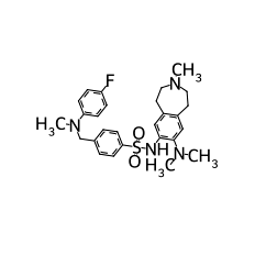 CN1CCc2cc(NS(=O)(=O)c3ccc(CN(C)c4ccc(F)cc4)cc3)c(N(C)C)cc2CC1